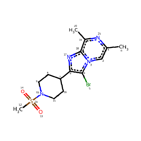 Cc1cn2c(Br)c(C3CCN(S(C)(=O)=O)CC3)nc2c(C)n1